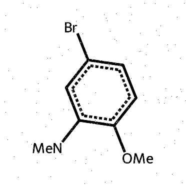 CNc1cc(Br)ccc1OC